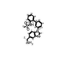 C[C@@H](N)c1ccc2c(c1)ncn2-c1cccc(-c2ccccc2NS(C)(=O)=O)c1